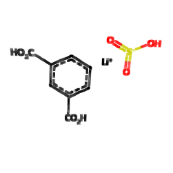 O=C(O)c1cccc(C(=O)O)c1.O=[S-](=O)O.[Li+]